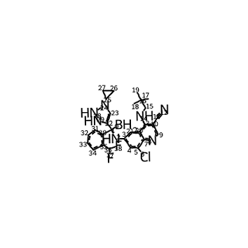 BC(Nc1cc(Cl)c2ncc(C#N)c(NCC(C)(C)C)c2c1)(C1=CN(C2CC2)NN1)c1ccccc1C(F)F